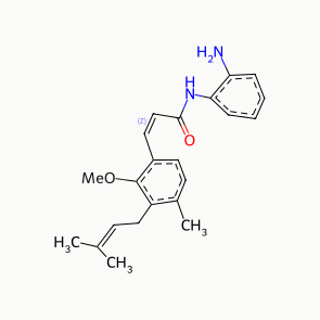 COc1c(/C=C\C(=O)Nc2ccccc2N)ccc(C)c1CC=C(C)C